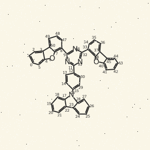 c1ccc2c(c1)oc1c(-c3nc(-c4ccc(-n5c6ccccc6c6ccccc65)cc4)nc(-c4cccc5c4oc4ccccc45)n3)cccc12